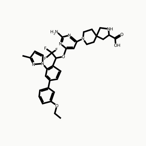 CCOc1cccc(-c2ccc(C(Oc3cc(N4CCC5(CC4)CNC(C(=O)O)C5)nc(N)n3)C(F)(F)F)c(-n3ccc(C)n3)c2)c1